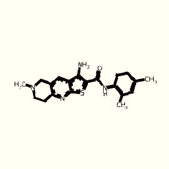 CC1=CC(C)=C(NC(=O)c2sc3nc4c(cc3c2N)CN(C)CC4)CC1